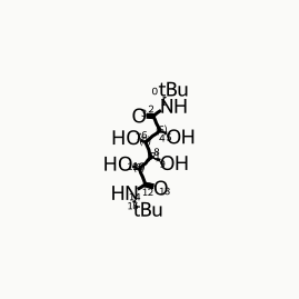 CC(C)(C)NC(=O)[C@@H](O)[C@H](O)[C@@H](O)[C@H](O)C(=O)NC(C)(C)C